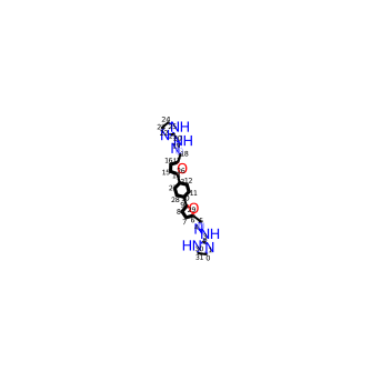 C1=NC(N/N=C/c2ccc(-c3ccc(-c4ccc(/C=N/NC5N=CCN5)o4)cc3)o2)NC1